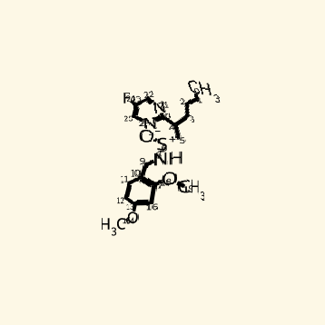 CCCCC(C[S+]([O-])NCc1ccc(OC)cc1OC)c1ncc(F)cn1